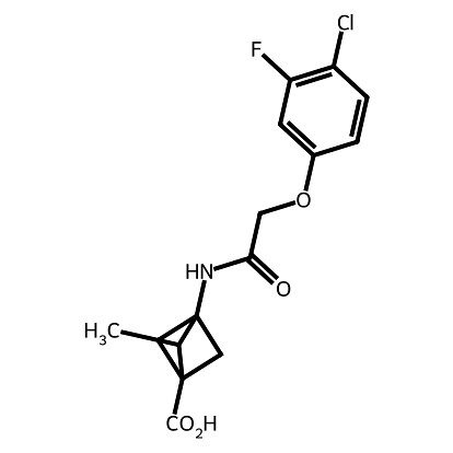 CC1C2(NC(=O)COc3ccc(Cl)c(F)c3)CC1(C(=O)O)C2